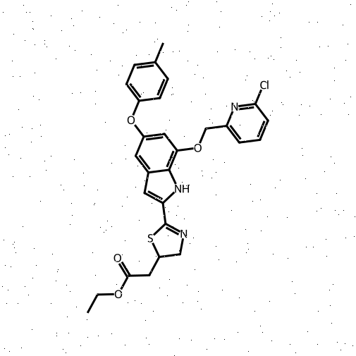 CCOC(=O)CC1CN=C(c2cc3cc(Oc4ccc(C)cc4)cc(OCc4cccc(Cl)n4)c3[nH]2)S1